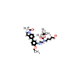 CCOc1ccc(-c2ccc3c(c2)CCN3C(C)=O)cc1NCCN(CCCCC=O)C(=O)OC(C)(C)C